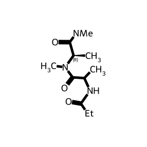 CCC(=O)NC(C)C(=O)N(C)[C@H](C)C(=O)NC